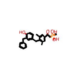 C=P(O)(O)CC(=O)c1cc(C)c(Cc2ccc(O)c(Cc3ccccc3)c2)c(C)c1